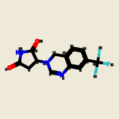 O=C1CC(N2C=Nc3cc(C(F)(F)F)ccc3C2)C(=O)N1